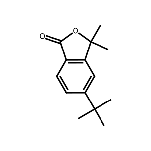 CC(C)(C)c1ccc2c(c1)C(C)(C)OC2=O